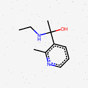 CCNC(C)(O)c1cccnc1C